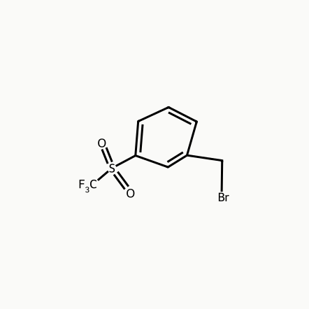 O=S(=O)(c1cccc(CBr)c1)C(F)(F)F